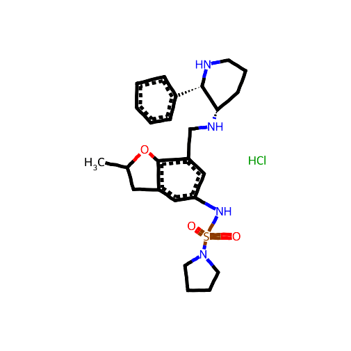 CC1Cc2cc(NS(=O)(=O)N3CCCC3)cc(CN[C@H]3CCCN[C@H]3c3ccccc3)c2O1.Cl